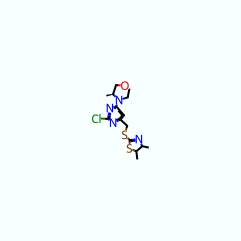 CC1N=C(SCc2cc(N3CCOC[C@@H]3C)nc(Cl)n2)SC1C